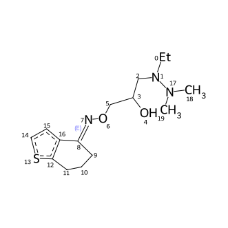 CCN(CC(O)CO/N=C1\CCCc2sccc21)N(C)C